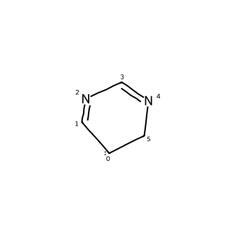 [C]1C=NC=NC1